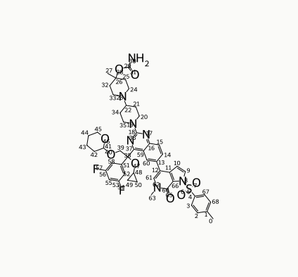 Cc1ccc(S(=O)(=O)n2ccc3c(-c4ccc5nc(N6CCC(N7CCC(C)(OC(N)=O)CC7)CC6)nc(C(COC6CCCCO6)(OC6CC6)c6cc(F)cc(F)c6)c5c4)cn(C)c(=O)c32)cc1